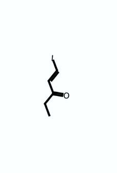 CCC(=O)C=CI